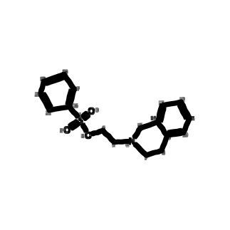 O=S(=O)(OCCN1CCc2ccccc2C1)c1ccccc1